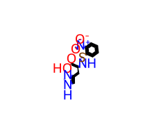 O=C(O)[C@H](Cc1c[nH]cn1)NSc1ccccc1[N+](=O)[O-]